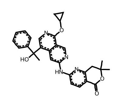 CC1(C)Cc2nc(Nc3cc4c(C(C)(O)c5ccccc5)cnc(OC5CC5)c4cn3)ccc2C(=O)O1